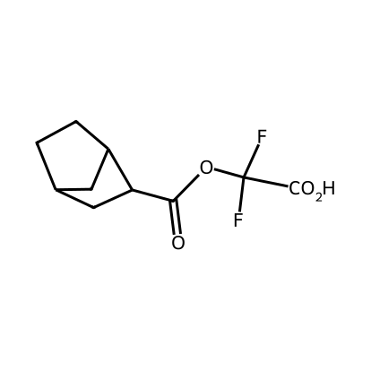 O=C(OC(F)(F)C(=O)O)C1CC2CCC1C2